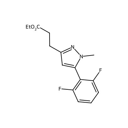 CCOC(=O)CCc1cc(-c2c(F)cccc2F)n(C)n1